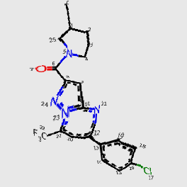 CC1CCCN(C(=O)c2cc3nc(-c4ccc(Cl)cc4)cc(C(F)(F)F)n3n2)C1